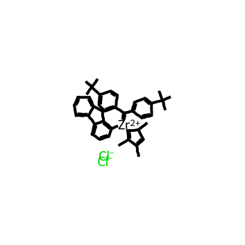 CC1=CC(C)[C]([Zr+2](=[C](c2ccc(C(C)(C)C)cc2)c2ccc(C(C)(C)C)cc2)[c]2cccc3c2Cc2ccccc2-3)=C1C.[Cl-].[Cl-]